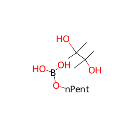 CC(C)(O)C(C)(C)O.CCCCCOB(O)O